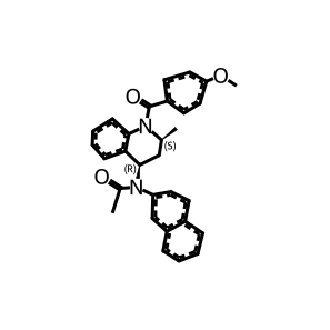 COc1ccc(C(=O)N2c3ccccc3[C@H](N(C(C)=O)c3ccc4ccccc4c3)C[C@@H]2C)cc1